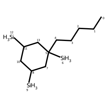 CCCCCC1([SiH3])CC([SiH3])CC([SiH3])C1